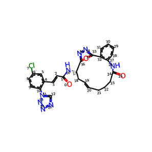 O=C(/C=C/c1cc(Cl)ccc1-n1cnnn1)N[C@H]1C/C=C/CCCC(=O)Nc2ccccc2-c2nnc1o2